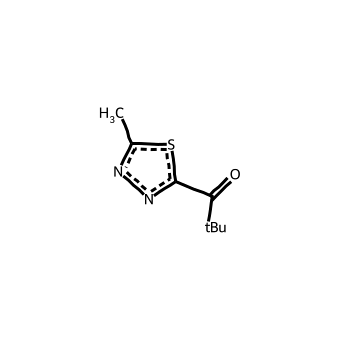 Cc1nnc(C(=O)C(C)(C)C)s1